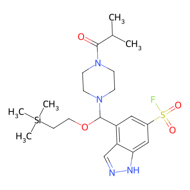 CC(C)C(=O)N1CCN(C(OCC[Si](C)(C)C)c2cc(S(=O)(=O)F)cc3[nH]ncc23)CC1